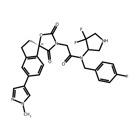 Cn1cc(-c2ccc3c(c2)CC[C@@]32OC(=O)N(CC(=O)N(Cc3ccc(F)cc3)C3CNCC3(F)F)C2=O)cn1